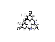 CN1C/C(=C/c2cc(Cl)c(O)c(Cl)c2)C/C(=C\c2cc(Cl)c(O)c(Cl)c2)C1